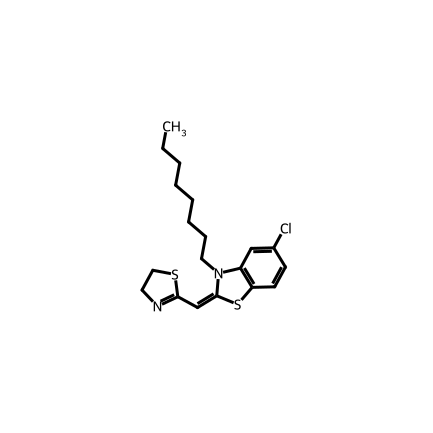 CCCCCCCCN1C(=CC2=NCCS2)Sc2ccc(Cl)cc21